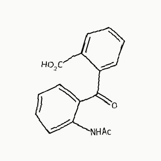 CC(=O)Nc1ccccc1C(=O)c1ccccc1C(=O)O